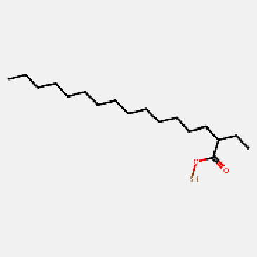 CCCCCCCCCCCCCCC(CC)C(=O)OS